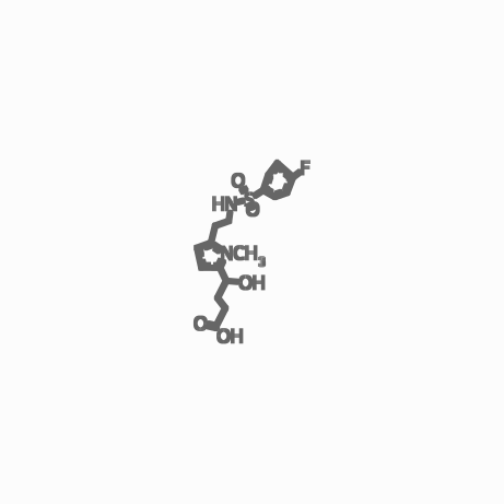 Cn1c(CCNS(=O)(=O)c2ccc(F)cc2)ccc1C(O)CCC(=O)O